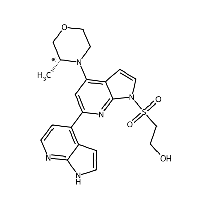 C[C@@H]1COCCN1c1cc(-c2ccnc3[nH]ccc23)nc2c1ccn2S(=O)(=O)CCO